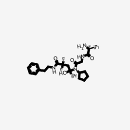 CC(C)[C@H](N)C(=O)NCC(=O)N(C1CCCC1)C(O)(CC(F)(F)C(=O)NCCc1ccccc1)C(C)C